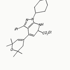 CCOC(=O)C1C=C(C2=CC(C)(C)OC(C)(C)C2)c2c(C(C)C)nn(C3CCCCC3)c2N1